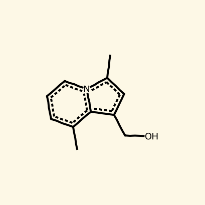 Cc1cccn2c(C)cc(CO)c12